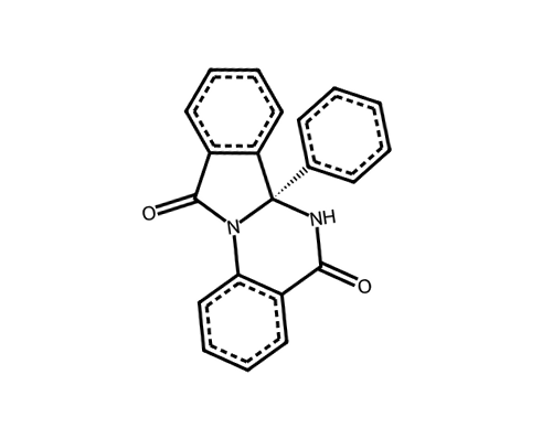 O=C1N[C@]2(c3ccccc3)c3ccccc3C(=O)N2c2ccccc21